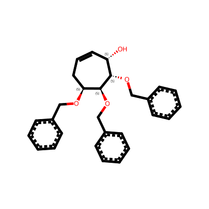 O[C@H]1C=CC[C@H](OCc2ccccc2)[C@H](OCc2ccccc2)[C@H]1OCc1ccccc1